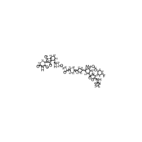 COCOc1ccc(F)cc1C(C(=O)Nc1nccs1)N1Cc2ccc(-c3ccc(N4CCN(C(=O)CCOCCNc5cccc6c5C(=O)N(C5CCC(=O)NC5=O)C6=O)CC4)cc3)cc2C1=O